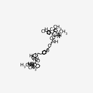 CN[C@@H](C)C(=O)NC(C(=O)N1CC[C@@H]2CCN(CCc3ccc(OCCOCCNC(=O)C[C@@H]4N=C(c5ccc(Cl)cc5)c5c(sc(C)c5C)-n5c(C)nnc54)cc3)C[C@@H]21)C1CCCCC1